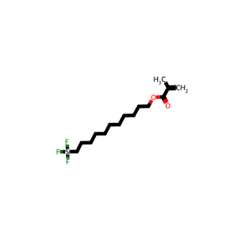 C=C(C)C(=O)OCCCCCCCCCCC[Si](F)(F)F